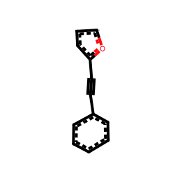 C(#Cc1cc[c]o1)c1ccccc1